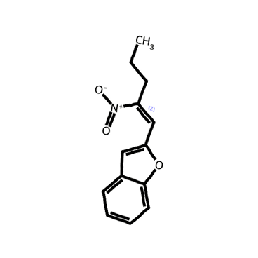 CCC/C(=C/c1cc2ccccc2o1)[N+](=O)[O-]